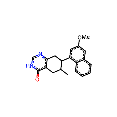 COc1cc(C2Cc3nc[nH]c(=O)c3CC2C)c2ccccc2c1